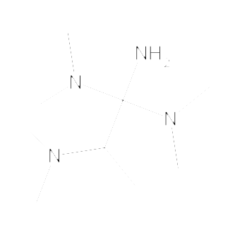 CC(N(C)C)C(N)(N(C)C)N(C)C